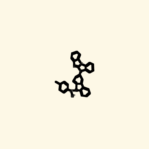 Cc1ccc([S+]([O-])n2c3ccccc3c3cc(-n4c5ccccc5n5c6ccccc6nc45)ccc32)cc1